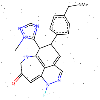 CNCc1ccc(C2C=C3C=NN(F)C4=CC(=O)CNC(=C34)C2c2ncnn2C)cc1